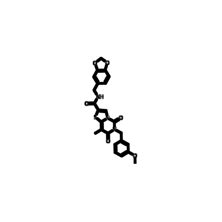 COc1cccc(Cn2c(=O)c(C)c3sc(C(=O)NCc4ccc5c(c4)OCO5)cn3c2=O)c1